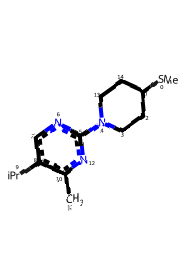 CSC1CCN(c2ncc(C(C)C)c(C)n2)CC1